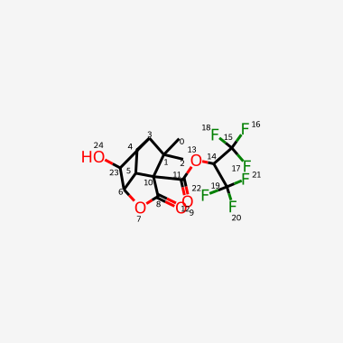 CC1(C)C2CC3C(OC(=O)C31C(=O)OC(C(F)(F)F)C(F)(F)F)C2O